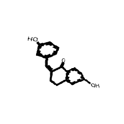 O=C1C(=Cc2cccc(O)c2)CCc2cc(O)ccc21